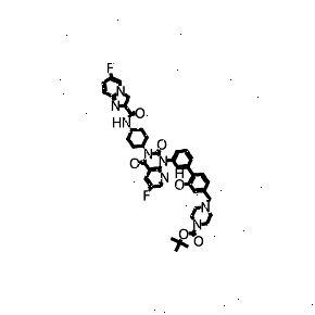 CC(C)(C)OC(=O)N1CCN(Cc2ccc(-c3cccc(-n4c(=O)n([C@H]5CC[C@@H](NC(=O)C6CN7C=C(F)C=CC7=N6)CC5)c(=O)c5cc(F)cnc54)c3)c(O)c2)CC1